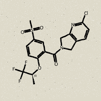 C[C@H](Oc1ccc(S(C)(=O)=O)cc1C(=O)N1Cc2ccc(Cl)nc2C1)C(F)(F)F